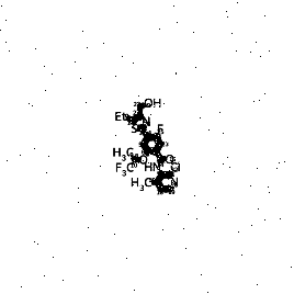 CCc1sc(-c2cc(O[C@@H](C)C(F)(F)F)c(C(=O)Nc3c(C)ccnc3Cl)cc2F)nc1CO